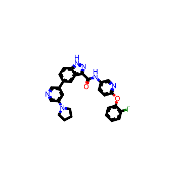 O=C(Nc1ccc(Oc2ccccc2F)nc1)c1n[nH]c2ccc(-c3cncc(N4CCCC4)c3)cc12